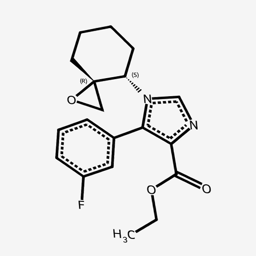 CCOC(=O)c1ncn([C@H]2CCCC[C@]23CO3)c1-c1cccc(F)c1